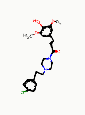 COc1cc(C=CC(=O)N2CCN(CCc3ccc(Cl)cc3)CC2)cc(OC)c1O